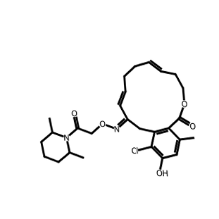 Cc1cc(O)c(Cl)c2c1C(=O)OCC/C=C/CC/C=C/C(=N\OCC(=O)N1C(C)CCCC1C)C2